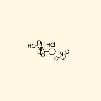 Cl.O=C(O)NNC(=O)C1CCC(CN2C(=O)C=CC2=O)CC1